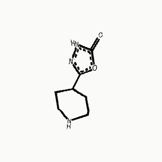 O=c1[nH]nc(C2CCNCC2)o1